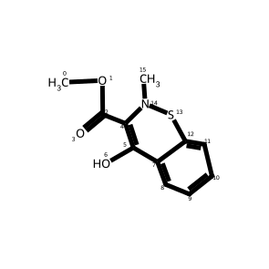 COC(=O)C1=C(O)c2ccccc2SN1C